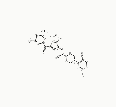 C[C@@H]1CN(C(=O)c2nn(CC(=O)N3CCN(c4cc(F)ccc4F)CC3)c3c2CCC3)C[C@H](C)O1